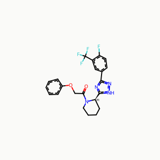 O=C(COc1ccccc1)N1CCCC[C@@H]1c1nc(-c2ccc(F)c(C(F)(F)F)c2)n[nH]1